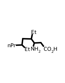 CCCC(CC)CC(CC)C(N)CC(=O)O